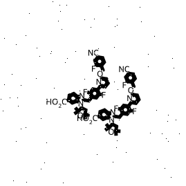 CC1(C)CC(n2c(Cc3cc(F)c(-c4cccc(OCc5ccc(C#N)cc5F)n4)cc3F)nc3ccc(C(=O)O)cc32)C(C)(C)O1.CC1(C)CC(n2c(Cc3cc(F)c(-c4cccc(OCc5ccc(C#N)cc5F)n4)cc3F)nc3ccc(C(=O)O)cc32)C(C)(C)O1